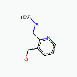 O=C(O)NCc1ncccc1CO